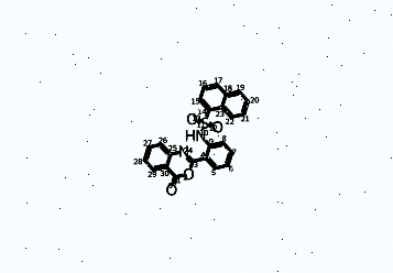 O=c1oc(-c2ccccc2NS(=O)(=O)c2cccc3ccccc23)nc2ccccc12